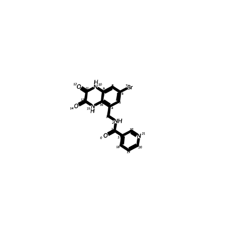 O=C(NCc1cc(Br)cc2[nH]c(=O)c(=O)[nH]c12)c1cccnc1